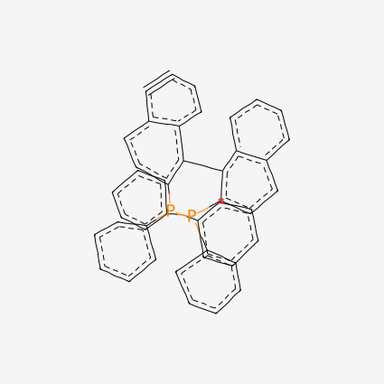 c1ccc2c(-c3c(P(c4ccccc4)c4ccccc4)ccc4ccccc34)c(P(c3ccccc3)c3ccccc3)ccc2c#1